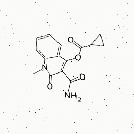 Cn1c(=O)c(C(N)=O)c(OC(=O)C2CC2)c2ccccc21